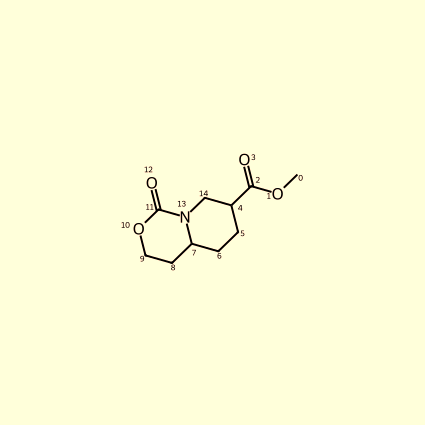 COC(=O)C1CCC2CCOC(=O)N2C1